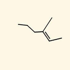 C/C=C(\C)CC[C]=O